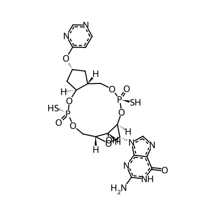 Nc1nc2c(ncn2[C@@H]2O[C@@H]3CO[P@](=O)(S)O[C@H]4C[C@H](Oc5ccncn5)C[C@@H]4CO[P@@](=O)(S)O[C@@H]2[C@@H]3O)c(=O)[nH]1